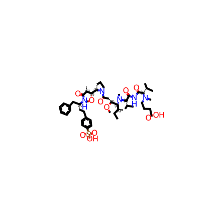 CC[C@H](C)[C@@H]([C@@H](CC(=O)N1CCC[C@H]1[C@H](OC)[C@@H](C)C(=O)N[C@H](CCc1ccc(S(=O)(=O)O)cc1)Cc1ccccc1)OC)N(C)[C@H](C(=O)NC(=O)[C@H](C(C)C)N(C)CCCC(=O)O)C(C)C